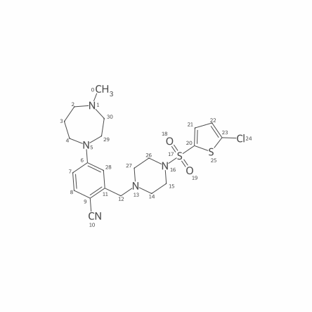 CN1CCCN(c2ccc(C#N)c(CN3CCN(S(=O)(=O)c4ccc(Cl)s4)CC3)c2)CC1